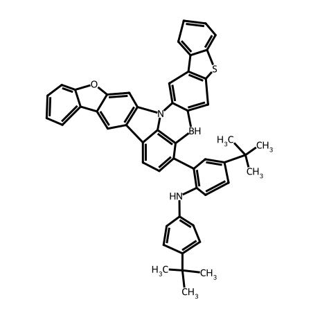 CC(C)(C)c1ccc(Nc2ccc(C(C)(C)C)cc2-c2ccc3c4cc5c(cc4n4c3c2Bc2cc3sc6ccccc6c3cc2-4)oc2ccccc25)cc1